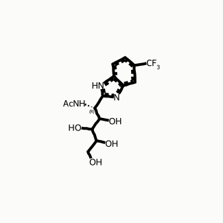 CC(=O)N[C@H](c1nc2cc(C(F)(F)F)ccc2[nH]1)C(O)C(O)C(O)CO